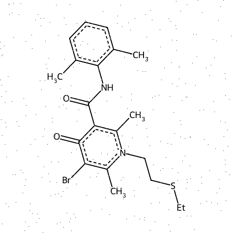 CCSCCn1c(C)c(Br)c(=O)c(C(=O)Nc2c(C)cccc2C)c1C